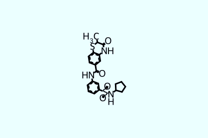 CC1Sc2ccc(C(=O)Nc3cccc(S(=O)(=O)NC4CCCC4)c3)cc2NC1=O